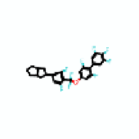 Fc1cc(-c2c(F)cc(OC(F)(F)c3c(F)cc(C4CC5CCCC5C4)cc3F)cc2F)cc(F)c1F